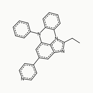 CCc1nc2cc(-c3ccncc3)cc3c2n1-c1ccccc1N3c1ccccc1